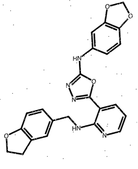 c1cnc(NCc2ccc3c(c2)CCO3)c(-c2nnc(Nc3ccc4c(c3)OCO4)o2)c1